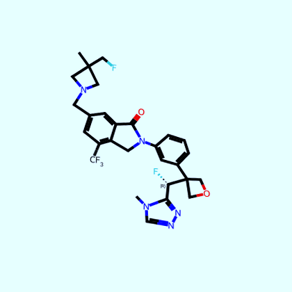 Cn1cnnc1[C@H](F)C1(c2cccc(N3Cc4c(cc(CN5CC(C)(CF)C5)cc4C(F)(F)F)C3=O)c2)COC1